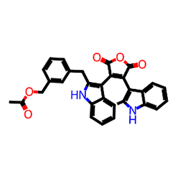 CC(=O)OCc1cccc(Cc2[nH]c3ccccc3c2C2=C(c3c(C)[nH]c4ccccc34)C(=O)OC2=O)c1